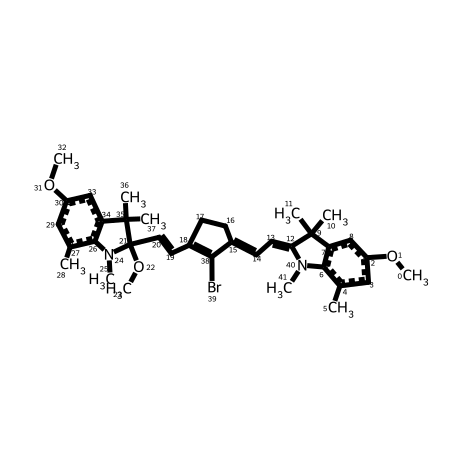 COc1cc(C)c2c(c1)C(C)(C)/C(=C/C=C1\CCC(/C=C/C3(OC)N(C)c4c(C)cc(OC)cc4C3(C)C)=C1Br)N2C